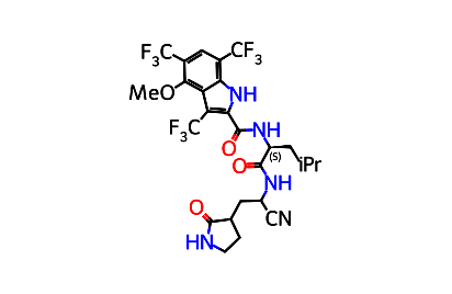 COc1c(C(F)(F)F)cc(C(F)(F)F)c2[nH]c(C(=O)N[C@@H](CC(C)C)C(=O)NC(C#N)CC3CCNC3=O)c(C(F)(F)F)c12